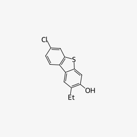 CCc1cc2c(cc1O)sc1cc(Cl)ccc12